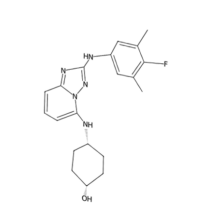 Cc1cc(Nc2nc3cccc(N[C@H]4CC[C@@H](O)CC4)n3n2)cc(C)c1F